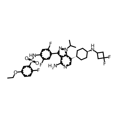 CCOc1ccc(F)c(S(=O)(=O)Nc2cc(F)c(-c3nn(C(C)C)c4c3c(N)ncc4[C@H]3CC[C@H](NC4CC(F)(F)C4)CC3)cc2F)c1